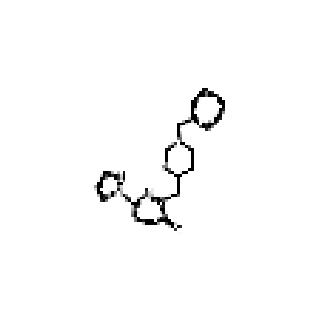 O=c1ccc(-n2cccn2)nn1CC1CCN(Cc2ccccc2)CC1